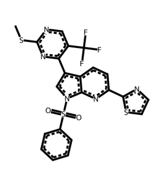 CSc1ncc(C(F)(F)F)c(-c2cn(S(=O)(=O)c3ccccc3)c3nc(-c4nccs4)ccc23)n1